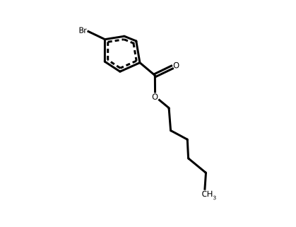 CCCCCCOC(=O)c1ccc(Br)cc1